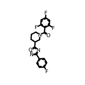 O=C(c1c(F)cc(F)cc1F)N1CCCC(c2nc(-c3ccc(F)cc3)no2)C1